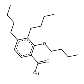 CCCCOc1c(C(=O)O)ccc(CCCC)c1CCCC